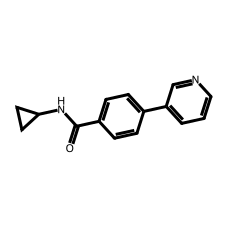 O=C(NC1CC1)c1ccc(-c2cccnc2)cc1